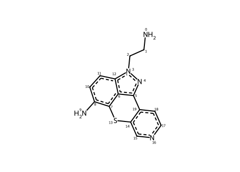 NCCn1nc2c3c(c(N)ccc31)Sc1cnccc1-2